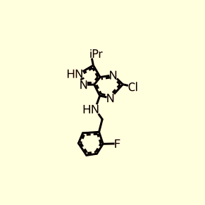 CC(C)c1[nH]nc2c(NCc3ccccc3F)nc(Cl)nc12